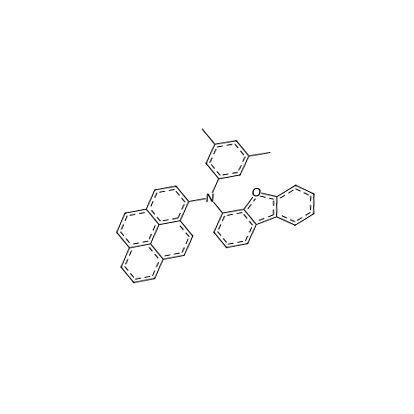 Cc1cc(C)cc(N(c2ccc3ccc4cccc5ccc2c3c45)c2cccc3c2oc2ccccc23)c1